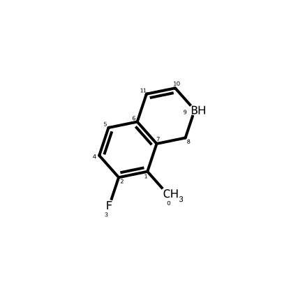 Cc1c(F)ccc2c1CBC=C2